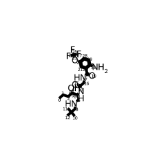 CCC[C@H](O)[C@H](CNCC(C)(C)C)NC(=O)CNC(=O)c1cc(OC(F)(F)F)ccc1N